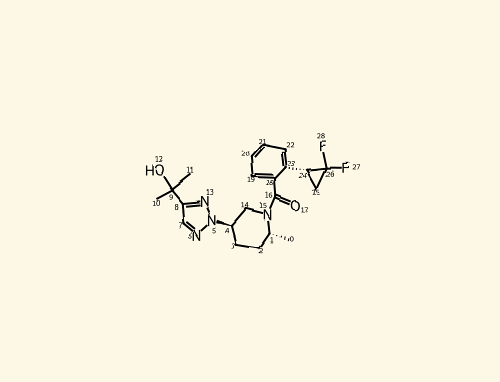 C[C@@H]1CC[C@@H](n2ncc(C(C)(C)O)n2)CN1C(=O)c1ccccc1[C@H]1CC1(F)F